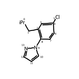 CC(C)Cc1cc(Cl)ccc1-n1cccn1